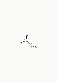 CC(C)C.[Zn]